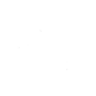 CN(C1CCC(CCCCCC(C)(C)CO)CC1)S(=O)(=O)c1ccc(C(F)(F)F)cc1